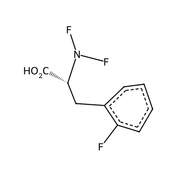 O=C(O)[C@@H](Cc1ccccc1F)N(F)F